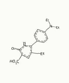 CCc1cc(C(=O)O)c(=O)[nH]c1-c1ccc(N(CC)CC)cc1